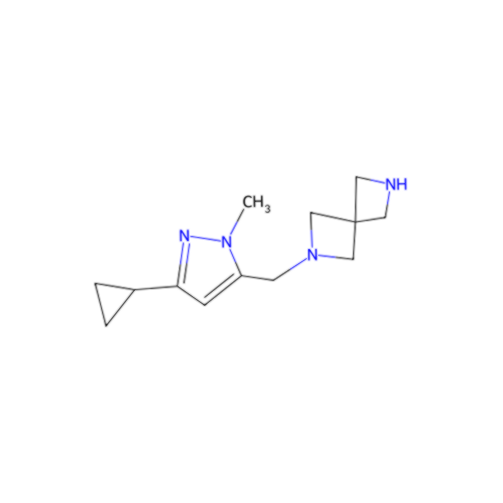 Cn1nc(C2CC2)cc1CN1CC2(CNC2)C1